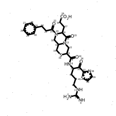 N=C(N)NCCCC(NC(=O)C1CN2C(=O)C(CCC(=O)O)N(C(=O)CCc3ccccc3)CC2CS1)C(=O)c1nccs1